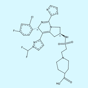 O=C(O)C1CCN(CCS(=O)(=O)N[C@H]2CC3=C(c4ccn(C(F)F)n4)[C@H](c4ccc(F)cc4Cl)N=C(c4nccs4)N3C2)CC1